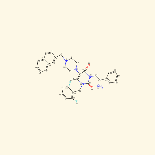 Cc1c(N2CCN(Cc3ccc4ccccc4c3)CC2)c(=O)n(C[C@@H](N)c2ccccc2)c(=O)n1Cc1c(F)cccc1F